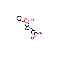 COc1ccc(Cn2cnc3c2C[C@@H](C(=O)O)N(C(=O)CC2CCCCC2)C3)cc1C